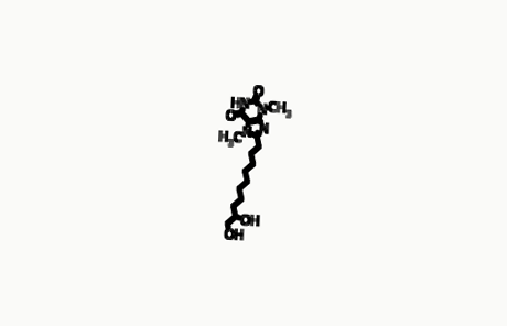 Cn1c(CCCCCCCCC(O)CO)nc2c1c(=O)[nH]c(=O)n2C